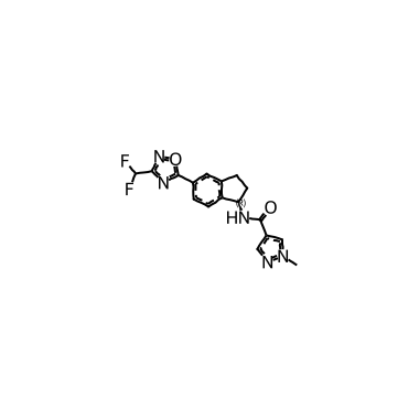 Cn1cc(C(=O)N[C@@H]2CCc3cc(-c4nc(C(F)F)no4)ccc32)cn1